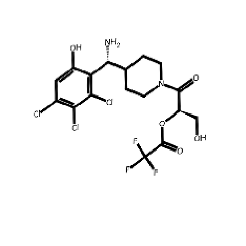 N[C@@H](c1c(O)cc(Cl)c(Cl)c1Cl)C1CCN(C(=O)[C@@H](CO)OC(=O)C(F)(F)F)CC1